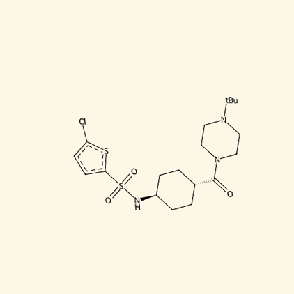 CC(C)(C)N1CCN(C(=O)[C@H]2CC[C@H](NS(=O)(=O)c3ccc(Cl)s3)CC2)CC1